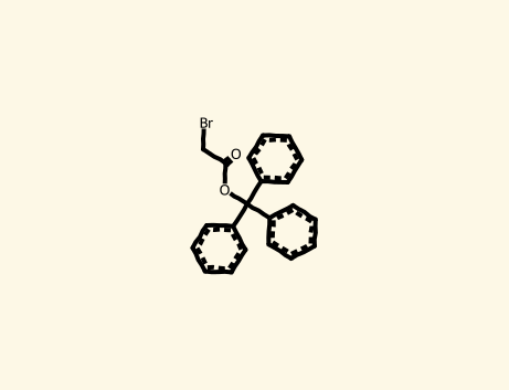 O=C(CBr)OC(c1ccccc1)(c1ccccc1)c1ccccc1